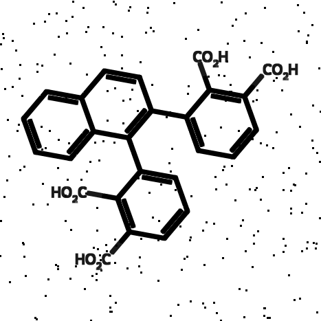 O=C(O)c1cccc(-c2ccc3ccccc3c2-c2cccc(C(=O)O)c2C(=O)O)c1C(=O)O